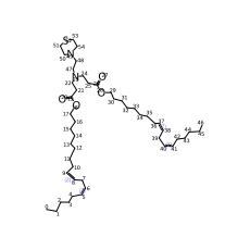 CCCCC/C=C\C/C=C\CCCCCCCCOC(=O)CCN(CCC(=O)OCCCCCCCC/C=C\C/C=C\CCCCC)CCN1CCSCC1